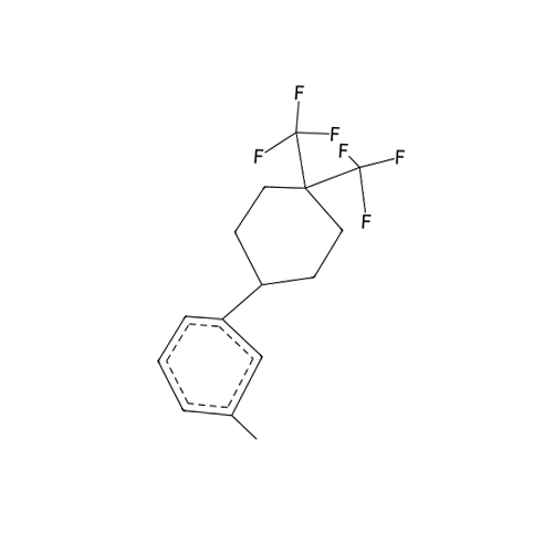 Cc1cccc(C2CCC(C(F)(F)F)(C(F)(F)F)CC2)c1